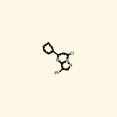 CC(C)c1cnn2c(Cl)cc(-c3ccccc3)nc12